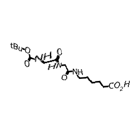 CC(C)(C)OC(=O)NCC(=O)NCC(=O)NCCCCCC(=O)O